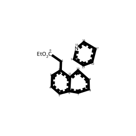 CCOC(=O)Cc1cccc2ccccc12.c1ccncc1